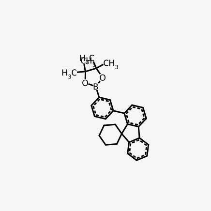 CC1(C)OB(c2cccc(-c3cccc4c3C3(CCCCC3)c3ccccc3-4)c2)OC1(C)C